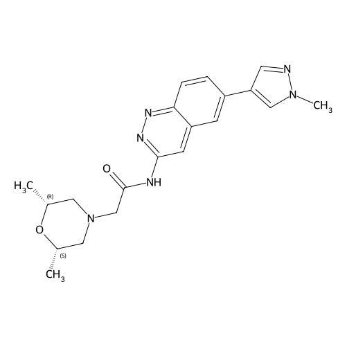 C[C@@H]1CN(CC(=O)Nc2cc3cc(-c4cnn(C)c4)ccc3nn2)C[C@H](C)O1